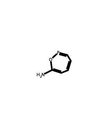 NC1=CC=CC=PO1